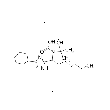 CCCCCCC(c1nc(C2CCCCC2)c[nH]1)N(C(=O)O)C(C)(C)C